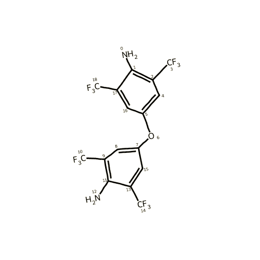 Nc1c(C(F)(F)F)cc(Oc2cc(C(F)(F)F)c(N)c(C(F)(F)F)c2)cc1C(F)(F)F